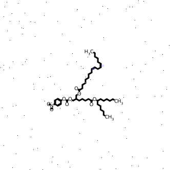 CCCCC/C=C\C/C=C\CCCCCCCC(=O)OCC(CCCCC(=O)OC(CCCCCC)CCCCCC)COC(=O)Oc1ccc([N+](=O)[O-])cc1